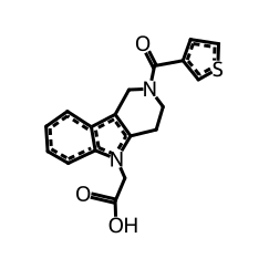 O=C(O)Cn1c2c(c3ccccc31)CN(C(=O)c1ccsc1)CC2